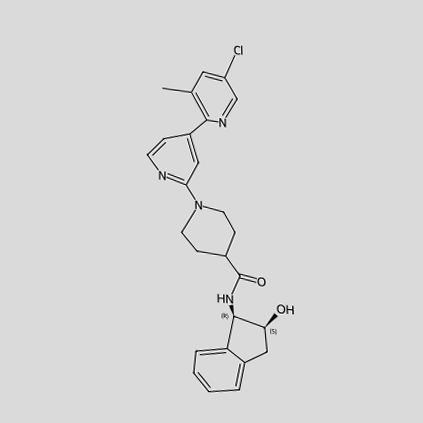 Cc1cc(Cl)cnc1-c1ccnc(N2CCC(C(=O)N[C@@H]3c4ccccc4C[C@@H]3O)CC2)c1